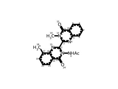 CC(=O)Nn1c(-c2nc3ccccc3c(=O)n2C)nc2c(C)cccc2c1=O